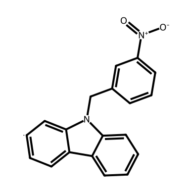 O=[N+]([O-])c1cccc(Cn2c3c[c]ccc3c3ccccc32)c1